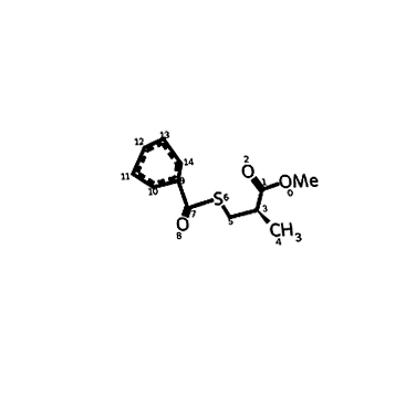 COC(=O)[C@@H](C)CSC(=O)c1ccccc1